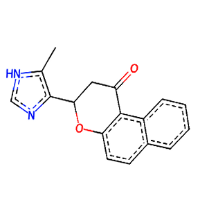 Cc1[nH]cnc1C1CC(=O)c2c(ccc3ccccc23)O1